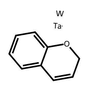 C1=Cc2ccccc2OC1.[Ta].[W]